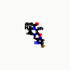 COC(=O)N[C@H](C(=O)N(Cc1ncc(Br)[nH]1)C1CC1C)C(C)C